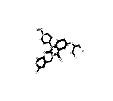 O=CN1CCC(n2c(=O)n(Cc3ccnc(Cl)c3)c(=O)c3cc(OC(CF)CF)ccc32)CC1